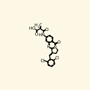 C=C(C(=O)O)C(=O)Nc1ccc2c(=O)n3c(nc2c1)C(=Cc1c(Cl)cccc1Cl)CC3